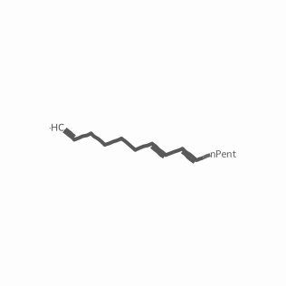 [CH]=CCCCCC=CC=CCCCCC